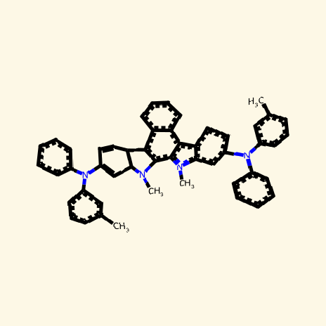 Cc1cccc(N(C2=CC3C(C=C2)c2c(c4c(c5ccccc25)c2ccc(N(c5ccccc5)c5cccc(C)c5)cc2n4C)N3C)c2ccccc2)c1